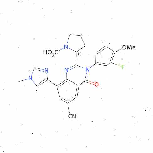 COc1ccc(-n2c([C@H]3CCCN3C(=O)O)nc3c(-c4cn(C)cn4)cc(C#N)cc3c2=O)cc1F